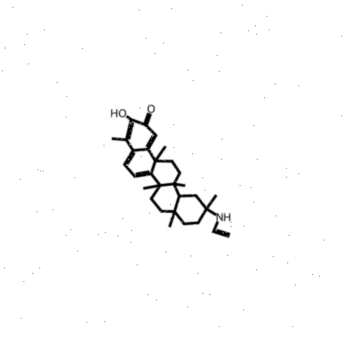 C=CNC1(C)CCC2(C)CCC3(C)C4=CC=C5C(=CC(=O)C(O)=C5C)C4(C)CCC3(C)C2C1